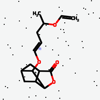 C=COC(C)C/C=C/OC1C2CC3C(=O)OC1C3C2